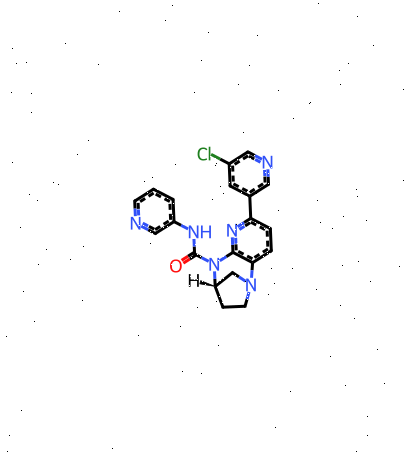 O=C(Nc1cccnc1)N1c2nc(-c3cncc(Cl)c3)ccc2N2CC[C@H]1C2